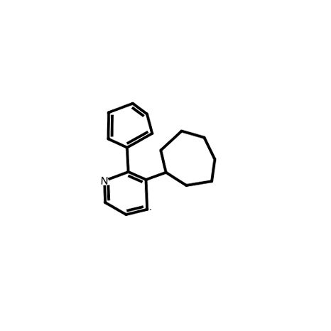 [c]1ccnc(-c2ccccc2)c1C1CCCCCC1